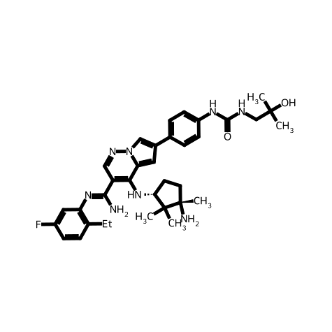 CCc1ccc(F)cc1/N=C(\N)c1cnn2cc(-c3ccc(NC(=O)NCC(C)(C)O)cc3)cc2c1N[C@@H]1CC[C@](C)(N)C1(C)C